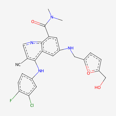 CN(C)C(=O)c1cc(NCc2ccc(CO)o2)cc2c(Nc3ccc(F)c(Cl)c3)c(C#N)cnc12